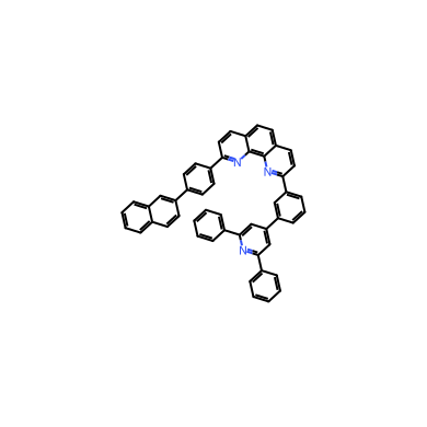 c1ccc(-c2cc(-c3cccc(-c4ccc5ccc6ccc(-c7ccc(-c8ccc9ccccc9c8)cc7)nc6c5n4)c3)cc(-c3ccccc3)n2)cc1